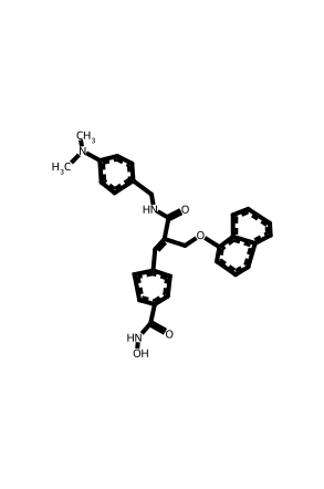 CN(C)c1ccc(CNC(=O)/C(=C/c2ccc(C(=O)NO)cc2)COc2cccc3ccccc23)cc1